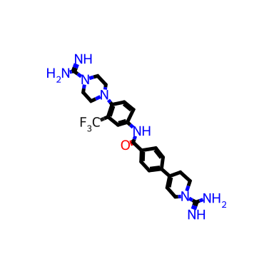 N=C(N)N1CC=C(c2ccc(C(=O)Nc3ccc(N4CCN(C(=N)N)CC4)c(C(F)(F)F)c3)cc2)CC1